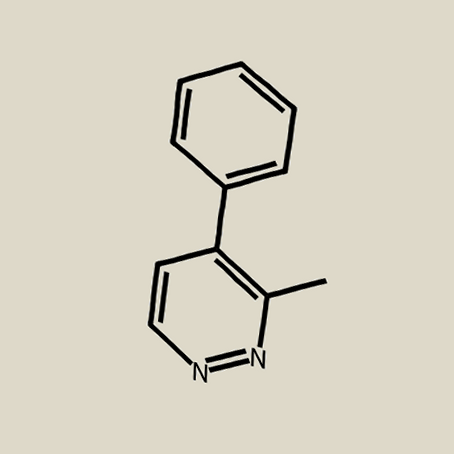 Cc1nnccc1-c1ccccc1